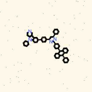 c1ccc(-c2cc(-c3ccc(-c4ccc5c(c4)c4cnccc4n5-c4ccccc4)cc3)nc(-c3ccc(-c4c5ccccc5c(-c5ccccc5)c5ccccc45)cc3)n2)cc1